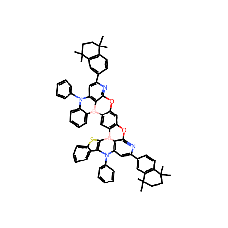 CC1(C)CCC(C)(C)c2cc(-c3cc4c5c(n3)Oc3cc6c(cc3B5c3ccccc3N4c3ccccc3)B3c4sc5ccccc5c4N(c4ccccc4)c4cc(-c5ccc7c(c5)C(C)(C)CCC7(C)C)nc(c43)O6)ccc21